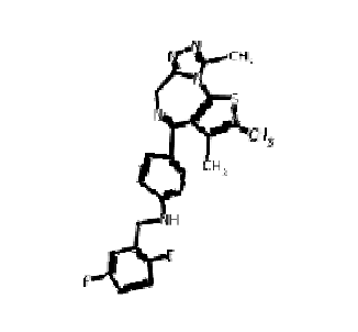 Cc1sc2c(c1C)C(c1ccc(NCc3cc(F)ccc3F)cc1)=NCc1nnc(C)n1-2